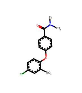 CCN(C)C(=O)c1ccc(Oc2ccc(Cl)cc2[N+](=O)[O-])cc1